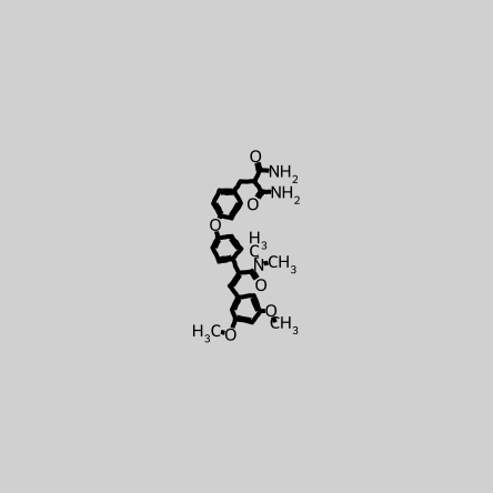 COc1cc(C=C(C(=O)N(C)C)c2ccc(Oc3ccc(CC(C(N)=O)C(N)=O)cc3)cc2)cc(OC)c1